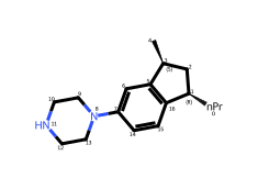 CCC[C@@H]1C[C@H](C)c2cc(N3CCNCC3)ccc21